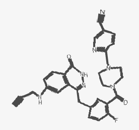 C#CCNc1ccc2c(=O)[nH]nc(Cc3ccc(F)c(C(=O)N4CCN(c5ccc(C#N)cn5)CC4)c3)c2c1